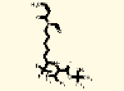 C/C=C\C(=O)N(C=O)CCCCCC(NC(C(=O)OC(C)(C)C)C(C)C)C(F)(F)F